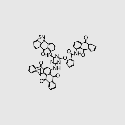 O=C(Nc1cccc2c1C(=O)c1ccccc1C2=O)c1ccccc1Oc1nc(Nc2cccc3c2C(=O)c2cccc4snc-3c24)nc(Nc2cc3c(=O)c4ccccc4[nH]c3c3c2C(=O)c2ccccc2C3=O)n1